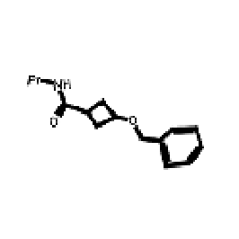 CC(C)NC(=O)C1CC(OCc2ccccc2)C1